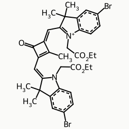 CCOC(=O)CN1C(=CC2=C(C)C(=CC3=[N+](CC(=O)OCC)c4ccc(Br)cc4C3(C)C)C2=O)C(C)(C)c2cc(Br)ccc21